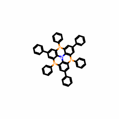 c1ccc(-c2cc3c4c(c2)P(c2ccccc2)c2cc(-c5ccccc5)cc5c2N4c2c(cc(-c4ccccc4)cc2P5c2ccccc2)P3c2ccccc2)cc1